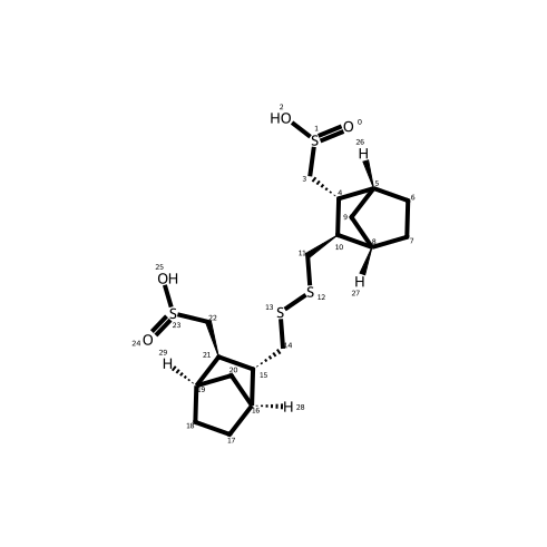 O=S(O)C[C@@H]1[C@@H]2CC[C@@H](C2)[C@H]1CSSC[C@@H]1[C@H]2CC[C@H](C2)[C@H]1CS(=O)O